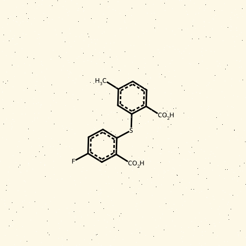 Cc1ccc(C(=O)O)c(Sc2ccc(F)cc2C(=O)O)c1